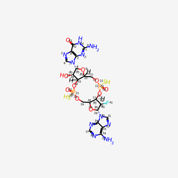 Nc1nc2c(ncn2[C@@H]2O[C@@H]3CO[P@](=O)(S)O[C@@H]4C(CO[P@@](=O)(S)O[C@H]3[C@H]2O)O[C@@H](n2cnc3c(N)ncnc32)[C@@H]4F)c(=O)[nH]1